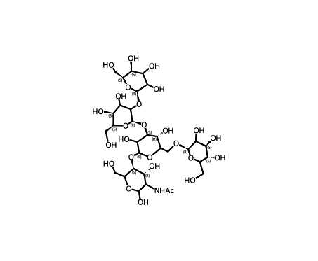 CC(=O)NC1C(O)OC(CO)[C@@H](O[C@@H]2OC(CO[C@@H]3OC(CO)[C@@H](O)[C@H](O)C3O)[C@@H](O)[C@H](O[C@H]3O[C@@H](CO)[C@@H](O)C(O)C3O[C@H]3O[C@@H](CO)[C@@H](O)C(O)C3O)C2O)[C@@H]1O